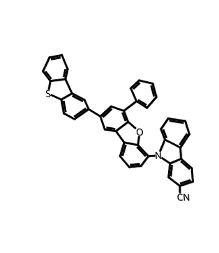 N#Cc1ccc2c3ccccc3n(-c3cccc4c3oc3c(-c5ccccc5)cc(-c5ccc6sc7ccccc7c6c5)cc34)c2c1